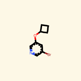 Brc1cncc(OC2CCC2)c1